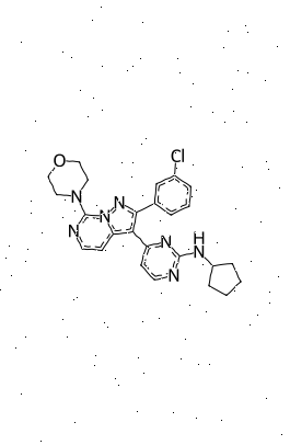 Clc1cccc(-c2nn3c(N4CCOCC4)nccc3c2-c2ccnc(NC3CCCC3)n2)c1